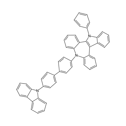 c1ccc(-n2c3c(c4ccccc42)-c2ccccc2N(c2ccc(-c4ccc(-n5c6ccccc6c6ccccc65)cc4)cc2)c2ccccc2-3)cc1